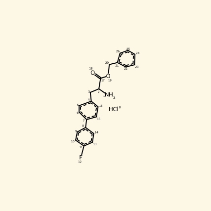 Cl.NC(Cc1ccc(-c2ccc(F)cc2)cc1)C(=O)OCc1ccccc1